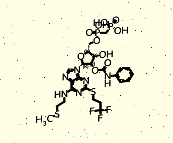 CSCCNc1nc(SCCC(F)(F)F)nc2c1ncn2[C@@H]1O[C@H](COP(=O)(O)CP(=O)(O)O)[C@@H](O)[C@H]1OC(=O)Nc1ccccc1